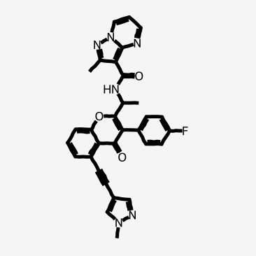 Cc1nn2cccnc2c1C(=O)NC(C)c1oc2cccc(C#Cc3cnn(C)c3)c2c(=O)c1-c1ccc(F)cc1